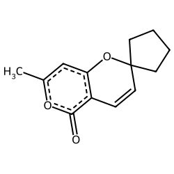 Cc1cc2c(c(=O)o1)C=CC1(CCCC1)O2